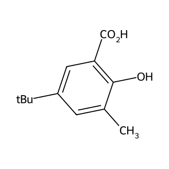 Cc1cc(C(C)(C)C)cc(C(=O)O)c1O